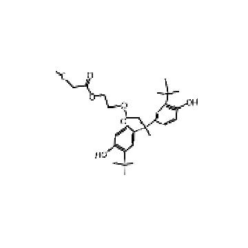 CCCC(=O)OCCOC(=O)CC(C)(c1ccc(O)c(C(C)(C)C)c1)c1ccc(O)c(C(C)(C)C)c1